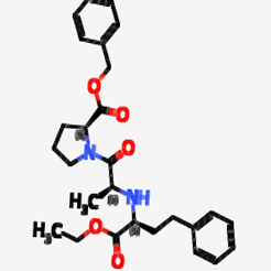 CCOC(=O)[C@H](CCc1ccccc1)N[C@@H](C)C(=O)N1CCC[C@H]1C(=O)OCc1ccccc1